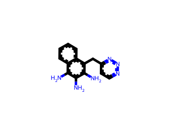 Nc1c(N)c(Cc2ccnnn2)c2ccccc2c1N